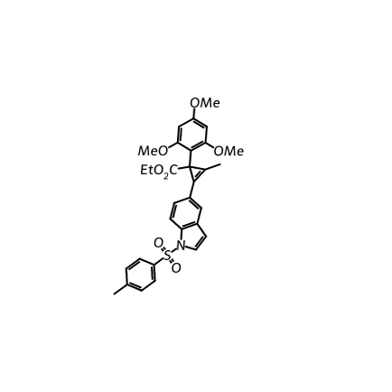 CCOC(=O)C1(c2c(OC)cc(OC)cc2OC)C(C)=C1c1ccc2c(ccn2S(=O)(=O)c2ccc(C)cc2)c1